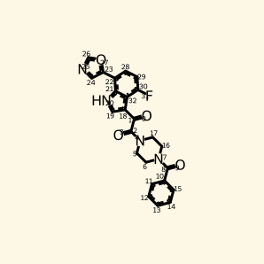 O=C(C(=O)N1CCN(C(=O)c2ccccc2)CC1)c1c[nH]c2c(-c3cnco3)ccc(F)c12